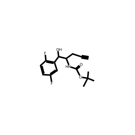 C#CCC(NC(=O)OC(C)(C)C)C(O)c1cc(F)ccc1F